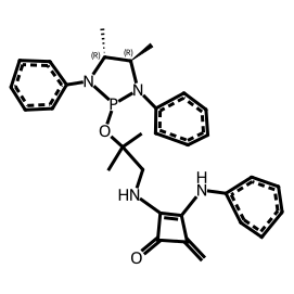 C=C1C(=O)C(NCC(C)(C)OP2N(c3ccccc3)[C@H](C)[C@@H](C)N2c2ccccc2)=C1Nc1ccccc1